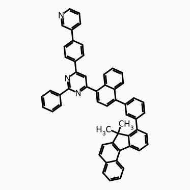 CC1(C)c2ccc3ccccc3c2-c2cccc(-c3cccc(-c4ccc(-c5cc(-c6ccc(-c7cccnc7)cc6)nc(-c6ccccc6)n5)c5ccccc45)c3)c21